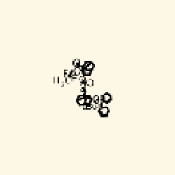 CC(F)(F)COC(=O)C12CC3CC(CC(OC(=O)OCC45CC6CC(C4)CC(O[Si](c4ccccc4)(c4ccccc4)C(C)(C)C)(C6)C5)(C3)C1)C2